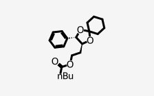 CCCCC(=O)OCC[C@@H]1OC2(CCCCC2)O[C@H]1c1ccccc1